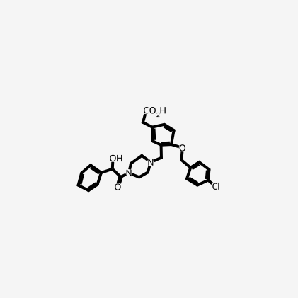 O=C(O)Cc1ccc(OCc2ccc(Cl)cc2)c(CN2CCN(C(=O)C(O)c3ccccc3)CC2)c1